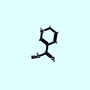 COC(=O)C1=C[N+]CC=C1